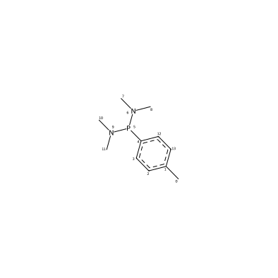 Cc1ccc(P(N(C)C)N(C)C)cc1